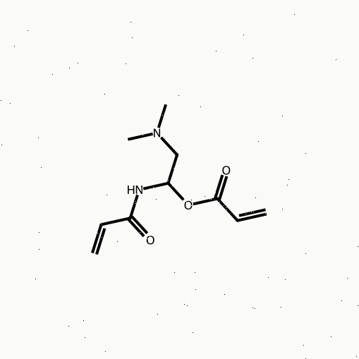 C=CC(=O)NC(CN(C)C)OC(=O)C=C